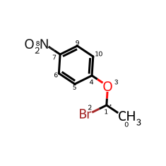 C[C](Br)Oc1ccc([N+](=O)[O-])cc1